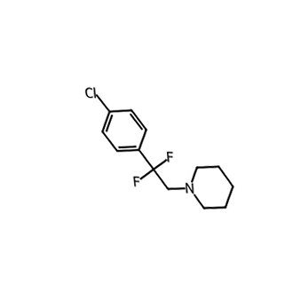 FC(F)(CN1CCCCC1)c1ccc(Cl)cc1